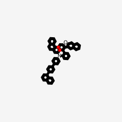 c1ccc(N(c2ccc(-c3ccc(-c4cccc5ccccc45)cc3)cc2)c2ccc3c(ccc4ccccc43)c2)c(-c2cccc3oc4cc5ccccc5cc4c23)c1